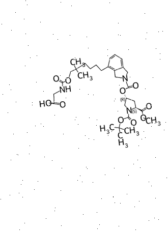 COC(=O)[C@@H]1C[C@@H](OC(=O)N2Cc3cccc(CCCCC(C)(C)COC(=O)NCC(=O)O)c3C2)CN1C(=O)OC(C)(C)C